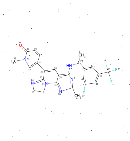 Cc1nc(N[C@H](C)c2cc(F)cc(C(F)(F)F)c2)c2c(n1)N1CCN=C1C(c1ccc(=O)n(C)c1)=C2